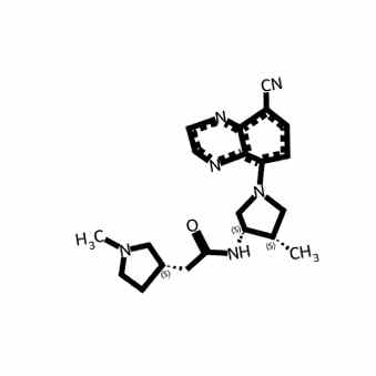 C[C@H]1CN(c2ccc(C#N)c3nccnc23)C[C@H]1NC(=O)C[C@@H]1CCN(C)C1